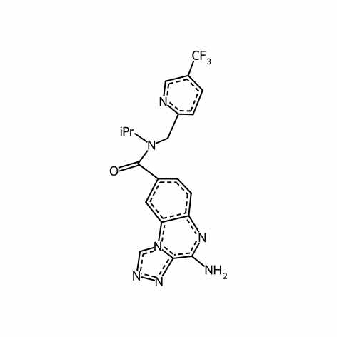 CC(C)N(Cc1ccc(C(F)(F)F)cn1)C(=O)c1ccc2nc(N)c3nncn3c2c1